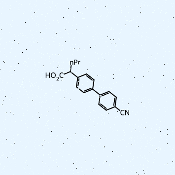 CCCC(C(=O)O)c1ccc(-c2ccc(C#N)cc2)cc1